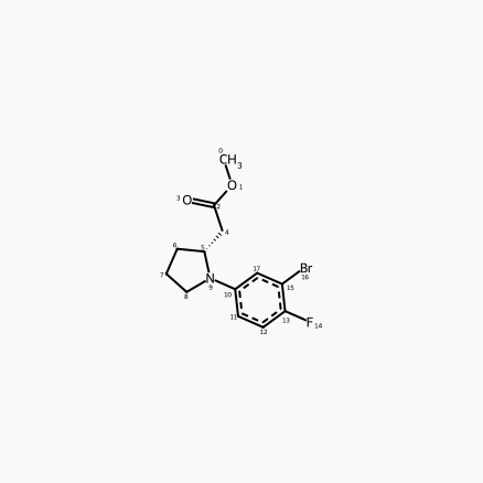 COC(=O)C[C@H]1CCCN1c1ccc(F)c(Br)c1